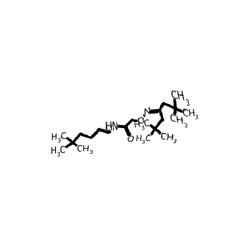 CC(C)(C)CCCCNC(=O)CON=C(CC(C)(C)C)CC(C)(C)C